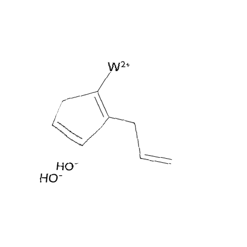 C=CCC1=[C]([W+2])CC=C1.[OH-].[OH-]